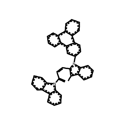 C=C(/C=C\c1c(C)c2ccccc2n1-c1ccc2c3ccccc3c3ccccc3c2c1)n1c2ccccc2c2ccccc21